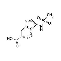 CS(=O)(=O)Nc1snc2cc(C(=O)O)ccc12